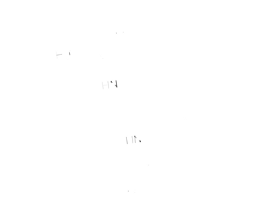 CC(=O)Nc1cc[c]c2c1NC(=O)CC2